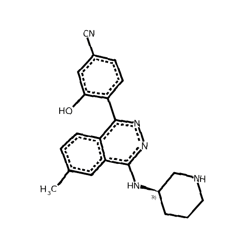 Cc1ccc2c(-c3ccc(C#N)cc3O)nnc(N[C@@H]3CCCNC3)c2c1